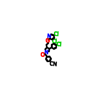 N#Cc1ccc(C(=O)N2CC(CCOc3ccc(Cl)cn3)C(c3ccc(Cl)c(Cl)c3)C2)cc1